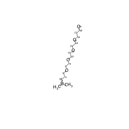 CB(C)SCCOCCOCCOCCOCCC=O